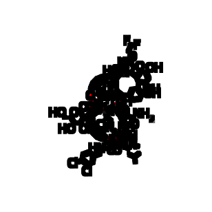 CN[C@H](CC(C)C)C(=O)N[C@H]1C(=O)N[C@@H](CC(N)=O)C(=O)N[C@H]2C(=O)N[C@H]3C(=O)N[C@H](C(=O)N[C@@H](C(=O)NOCC(F)F)c4cc(O)cc(O)c4-c4cc3ccc4O)[C@H](O)c3ccc(c(Cl)c3)Oc3cc2cc(c3O[C@@H]2O[C@H](CO)[C@@H](O)[C@H](O)[C@H]2O[C@H]2C[C@](C)(NCCN3CCN(C(=O)NCc4ccc(Cl)c(Cl)c4)CC3)[C@H](O)[C@H](C)O2)Oc2ccc(cc2Cl)[C@H]1O